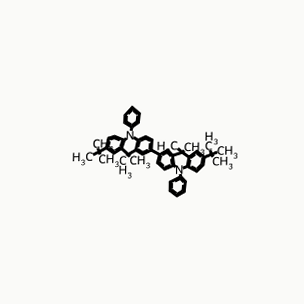 CC(C)(C)c1ccc2c(c1)C(C)(C)c1cc(-c3ccc4c(c3)C(C)(C)c3cc(C(C)(C)C)ccc3N4c3ccccc3)ccc1N2c1ccccc1